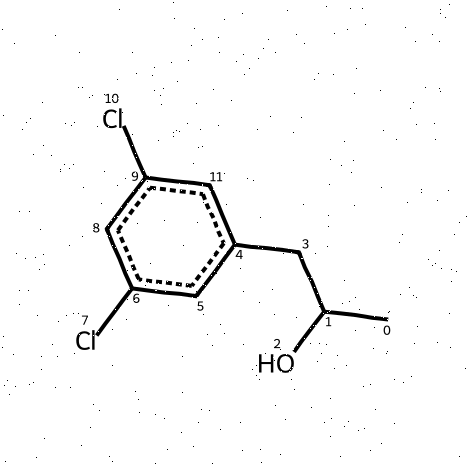 CC(O)Cc1cc(Cl)cc(Cl)c1